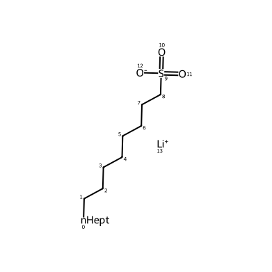 CCCCCCCCCCCCCCCS(=O)(=O)[O-].[Li+]